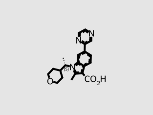 Cc1c(C(=O)O)c2ccc(-c3cnccn3)cc2n1[C@@H](C)C1CCOCC1